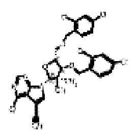 C#Cc1cn([C@@H]2O[C@H](COCc3ccc(Cl)cc3Cl)[C@@H](OCc3ccc(Cl)cc3Cl)[C@@]2(C)O)c2ncnc(Cl)c12